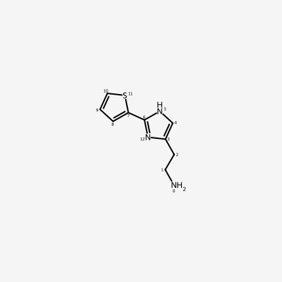 NCCc1c[nH]c(-c2cccs2)n1